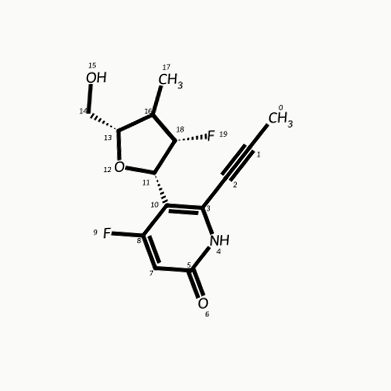 CC#Cc1[nH]c(=O)cc(F)c1[C@@H]1O[C@H](CO)C(C)[C@@H]1F